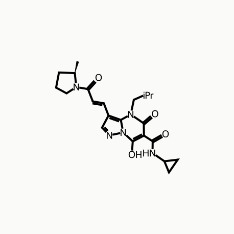 CC(C)Cn1c(=O)c(C(=O)NC2CC2)c(O)n2ncc(/C=C/C(=O)N3CCC[C@H]3C)c12